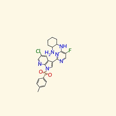 Cc1ccc(S(=O)(=O)n2cc(-c3ncc(F)c(NC4CCCCC4N)n3)c3cc(Cl)cnc32)cc1